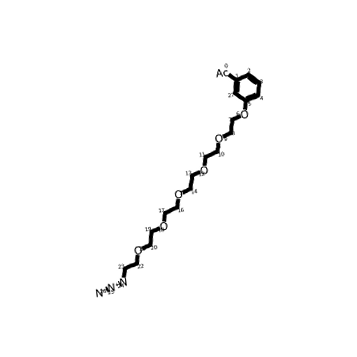 CC(=O)c1cccc(OCCOCCOCCOCCOCCOCCN=[N+]=[N-])c1